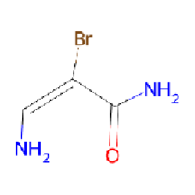 N/C=C(/Br)C(N)=O